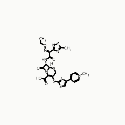 CCON=C(C(=O)N[C@@H]1C(=O)N2C(C(=O)O)=C(Sc3nc(-c4cc[n+](C)cc4)cs3)CS[C@H]12)c1nsc(C)n1